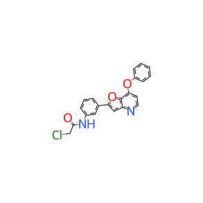 O=C(CCl)Nc1cccc(-c2cc3nccc(Oc4ccccc4)c3o2)c1